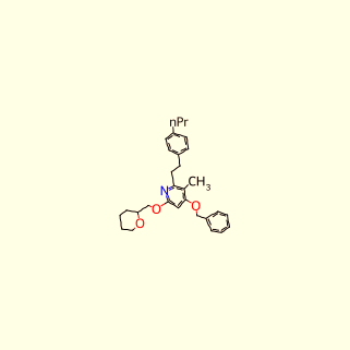 CCCc1ccc(CCc2nc(OCC3CCCCO3)cc(OCc3ccccc3)c2C)cc1